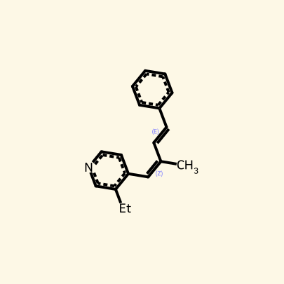 CCc1cnccc1/C=C(C)\C=C\c1ccccc1